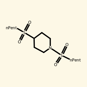 CCCCCS(=O)(=O)C1CCN(S(=O)(=O)CCCCC)CC1